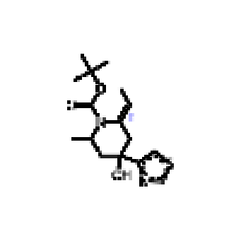 C/C=C1/CC(O)(c2cscn2)CC(C)N1C(=O)OC(C)(C)C